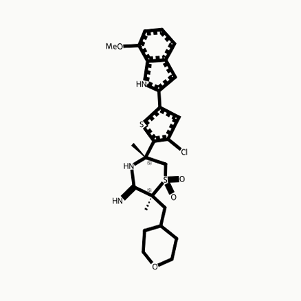 COc1cccc2cc(-c3cc(Cl)c([C@]4(C)CS(=O)(=O)[C@@](C)(CC5CCOCC5)C(=N)N4)s3)[nH]c12